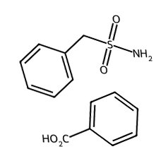 NS(=O)(=O)Cc1ccccc1.O=C(O)c1ccccc1